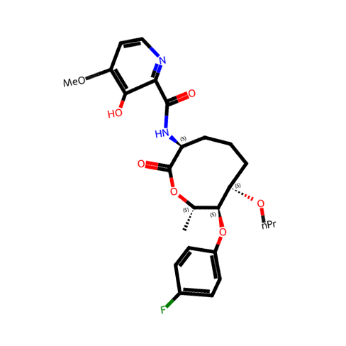 CCCO[C@H]1CCC[C@H](NC(=O)c2nccc(OC)c2O)C(=O)O[C@@H](C)[C@@H]1Oc1ccc(F)cc1